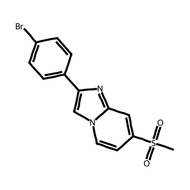 CS(=O)(=O)c1ccn2cc(-c3ccc(Br)cc3)nc2c1